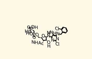 CC(=O)N[C@H]1[C@@H](O)[C@H](n2nnc3c(NCc4ccccc4Cl)nc(Cl)nc32)O[C@@H]1COP(=O)(O)CP(=O)(O)O